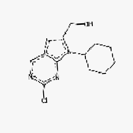 OCc1cc2cnc(Cl)nc2n1C1CCCCC1